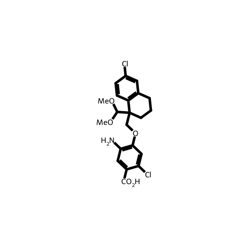 COC(OC)C1(COc2cc(Cl)c(C(=O)O)cc2N)CCCc2cc(Cl)ccc21